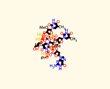 COC(C)[C@@H](OC(OP(=O)(S)OCCCO)OP(=O)(S)OC1C(OC)[C@H](n2cc(C)c(=O)[nH]c2=O)O[C@@H]1COP(=O)(S)OC1C[C@H](n2cc(C)c(=O)[nH]c2=O)O[C@@H]1COP(=O)(S)OC1C[C@H](n2cnc3c(=O)[nH]c(N)nc32)O[C@@H]1COP(=O)(S)OC(C)C)n1cc(C)c(=O)[nH]c1=O